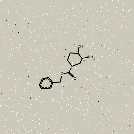 N[C@H]1CN(C(=O)OCc2ccccc2)CC[C@H]1O